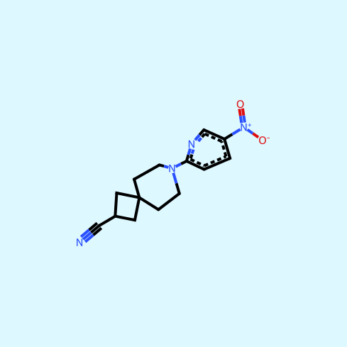 N#CC1CC2(CCN(c3ccc([N+](=O)[O-])cn3)CC2)C1